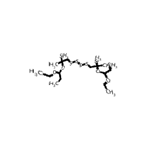 CCOC(CC)OC(C)([SiH3])CSSSSCC(C)([SiH3])OC(CC)OCC